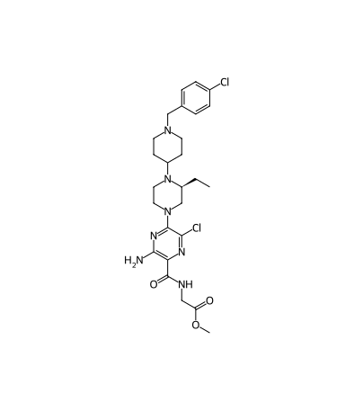 CC[C@H]1CN(c2nc(N)c(C(=O)NCC(=O)OC)nc2Cl)CCN1C1CCN(Cc2ccc(Cl)cc2)CC1